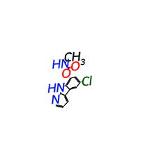 CNC(=O)Oc1cc(Cl)cc2c1[nH]c1ncccc12